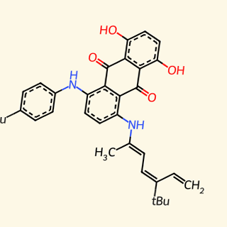 C=C/C(=C\C=C(/C)Nc1ccc(Nc2ccc(C(C)(C)C)cc2)c2c1C(=O)c1c(O)ccc(O)c1C2=O)C(C)(C)C